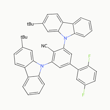 CC(C)(C)c1ccc2c3ccccc3n(-c3cc(-c4cc(F)ccc4F)cc(-n4c5ccccc5c5ccc(C(C)(C)C)cc54)c3C#N)c2c1